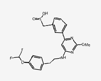 COc1nc(NCCc2ccc(OC(F)F)cc2)cc(-c2cccc(CS(=O)O)c2)n1